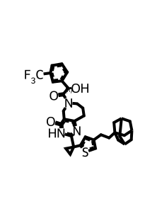 O=C([C@H](O)c1cccc(C(F)(F)F)c1)N1CCCc2nc(C3(c4cc(CCC56CC7CC(CC(C7)C5)C6)cs4)CC3)[nH]c(=O)c2C1